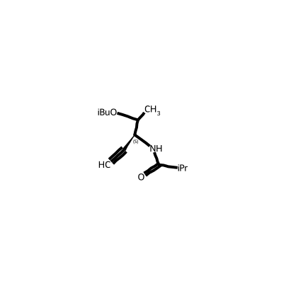 C#C[C@H](NC(=O)C(C)C)C(C)OCC(C)C